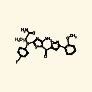 COc1ccccc1-c1cc(C(=O)c2sc(N(c3ccc(F)cc3)[C@H](C)C(N)=O)nc2N)on1